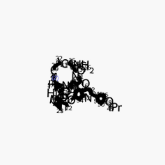 COc1ccc2c(O[C@@H]3C[C@H]4C(=O)N[C@]5(C(=O)NS(=O)(=O)C6(CF)CC6)C[C@H]5/C=C\CC[C@@H](C)C[C@@H](C)[C@H](N)C(=O)N4C3)cc(-c3ccc(OC(C)C)cc3)nc2c1.Cl